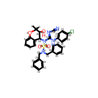 CC1(C)Oc2ccccc2C(N(C(=NC#N)Nc2ccc(Cl)cc2)S(=O)(=O)N(Cc2ccccc2)Cc2ccccc2)C1O